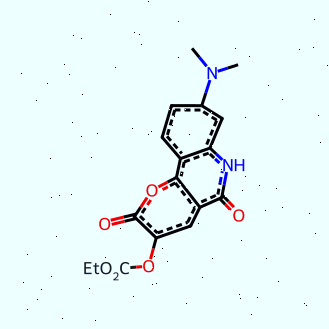 CCOC(=O)Oc1cc2c(=O)[nH]c3cc(N(C)C)ccc3c2oc1=O